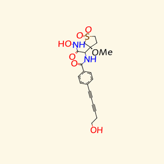 CO[C@]1(C(NC(=O)c2ccc(C#CC#CCCO)cc2)C(=O)NO)CCS(=O)(=O)C1